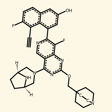 C#Cc1c(F)ccc2cc(O)cc(-c3ncc4c(N5C[C@H]6CC[C@@H](C5)N6)nc(OCC56CCN(CC5)CC6)nc4c3F)c12